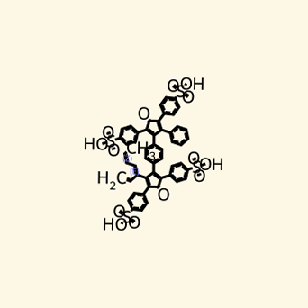 C=C/C(=C\C=C/C)C1=C(c2ccc(S(=O)(=O)O)cc2)C(=O)C(c2ccc(S(=O)(=O)O)cc2)=C1c1ccc(C2=C(c3ccc(S(=O)(=O)O)cc3)C(=O)C(c3ccc(S(=O)(=O)O)cc3)=C2c2ccccc2)cc1